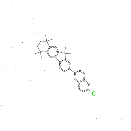 CC1(C)CCC(C)(C)c2cc3c(cc21)-c1ccc(-c2ccc4cc(Cl)ccc4c2)cc1C3(C)C